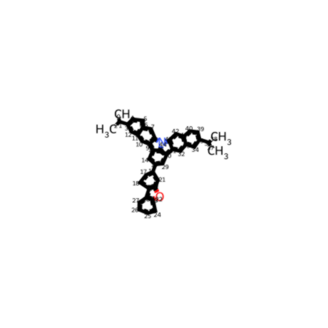 CC(C)c1ccc2cc3c(cc2c1)c1cc(-c2ccc4c(c2)oc2ccccc24)cc2c4cc5cc(C(C)C)ccc5cc4n3c12